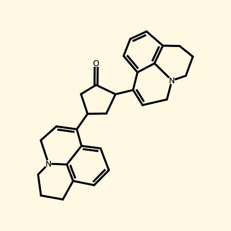 O=C1CC(C2=CCN3CCCc4cccc2c43)CC1C1=CCN2CCCc3cccc1c32